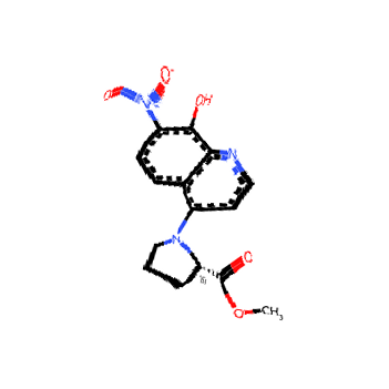 COC(=O)[C@@H]1CCCN1c1ccnc2c(O)c([N+](=O)[O-])ccc12